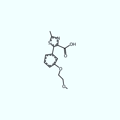 COCCOc1cccc(-c2sc(C)nc2C(=O)O)c1